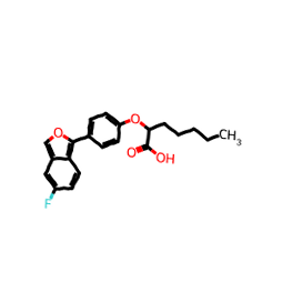 CCCCCC(Oc1ccc(-c2occ3cc(F)ccc23)cc1)C(=O)O